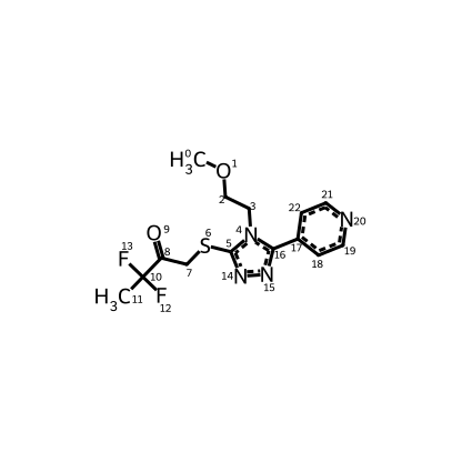 COCCn1c(SCC(=O)C(C)(F)F)nnc1-c1ccncc1